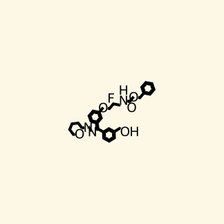 O=C(NC[C@H](F)COc1ccc2c(c1)c(-c1cccc(CO)c1)nn2C1CCCCO1)OCc1ccccc1